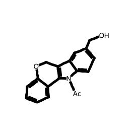 CC(=O)n1c2c(c3cc(CO)ccc31)COc1ccccc1-2